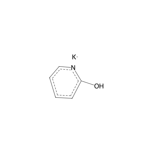 Oc1ccccn1.[K]